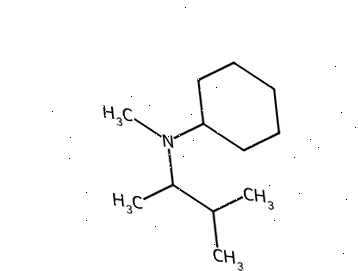 CC(C)C(C)N(C)C1CCCCC1